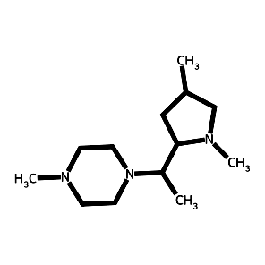 CC1CC(C(C)N2CCN(C)CC2)N(C)C1